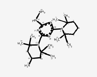 CC1(C)CCCC(C)(C)N1c1nc(NN)nc(N2C(C)(C)CC(N)CC2(C)C)n1